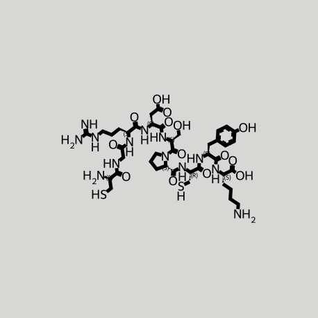 N=C(N)NCCC[C@H](NC(=O)CNC(=O)[C@H](N)CS)C(=O)N[C@@H](CC(=O)O)C(=O)N[C@@H](CO)C(=O)N1CCC[C@H]1C(=O)N[C@@H](CS)C(=O)N[C@@H](Cc1ccc(O)cc1)C(=O)N[C@@H](CCCCN)C(=O)O